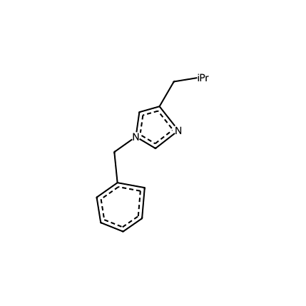 CC(C)Cc1cn(Cc2ccccc2)cn1